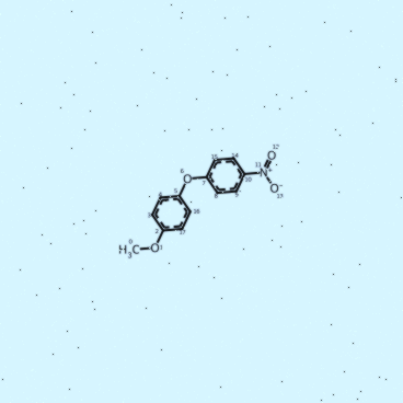 COc1ccc(Oc2c[c]c([N+](=O)[O-])cc2)cc1